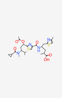 CC(=O)OC(CC(C(C)C)N(C)C(=O)C1CC1)c1nc(C(=O)NC(Cc2nc(C)cs2)CC(C)C(=O)O)cs1